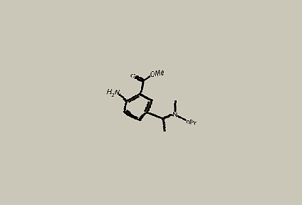 CCCN(C)C(C)c1ccc(N)c(C(=O)OC)c1